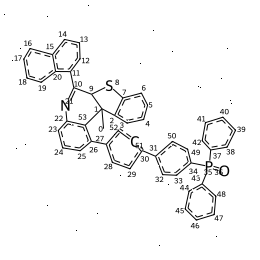 CC12c3ccccc3SC1C(c1cccc3ccccc13)=Nc1cccc(-c3ccc(-c4ccc(P(=O)(c5ccccc5)c5ccccc5)cc4)cc3)c12